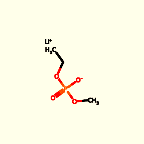 CCOP(=O)([O-])OC.[Li+]